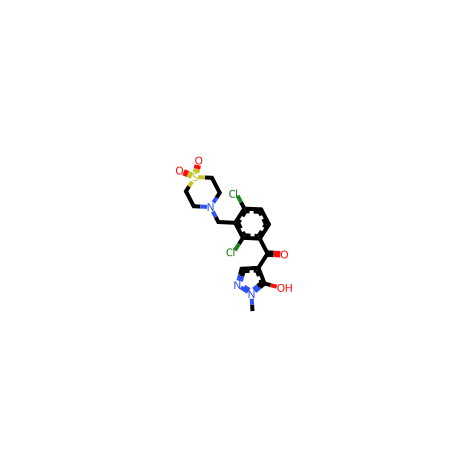 Cn1ncc(C(=O)c2ccc(Cl)c(CN3CCS(=O)(=O)CC3)c2Cl)c1O